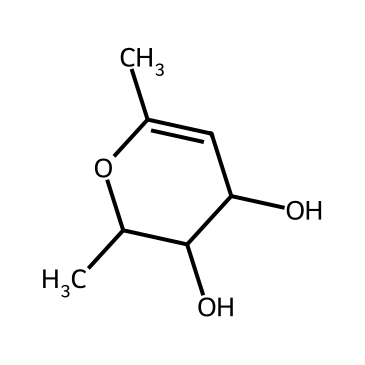 CC1=CC(O)C(O)C(C)O1